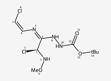 CON[C@@H](Cl)/C(=N\C=C/Cl)NNC(=O)OC(C)(C)C